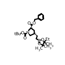 CCC1(C)OB(CC[C@@H]2C[C@H](C(=O)OCc3ccccc3)CN(C(=O)OC(C)(C)C)C2)OC1(C)C